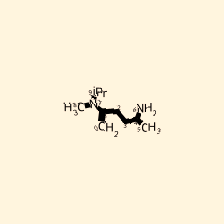 C=C(CCC(C)N)N(C)C(C)C